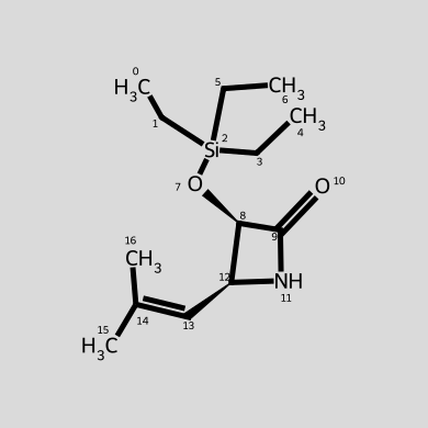 CC[Si](CC)(CC)O[C@H]1C(=O)N[C@H]1C=C(C)C